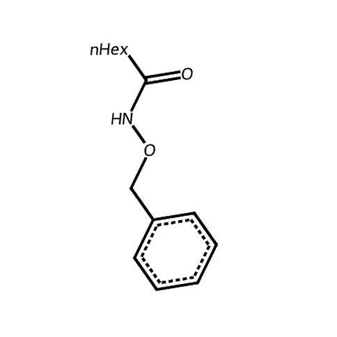 CCCCCCC(=O)NOCc1ccccc1